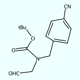 CC(C)(C)OC(=O)N(CC=O)Cc1ccc(C#N)cc1